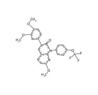 COc1ccc2cc(-c3ccc(OC)c(OC)c3)c(=O)n(-c3ccc(OC(F)(F)F)cc3)c2n1